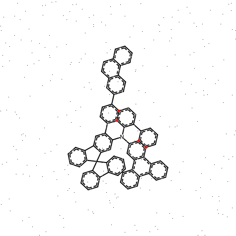 c1ccc(-c2ccccc2N(c2ccc3c4ccccc4c4ccccc4c3c2)c2cc3c(cc2-c2ccc(-c4ccc5c(ccc6ccccc65)c4)cc2)-c2ccccc2C32c3ccccc3-c3ccccc32)cc1